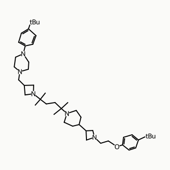 CC(C)(C)c1ccc(OCCN2CC(C3CCN(C(C)(C)CCC(C)(C)N4CC(CN5CCN(c6ccc(C(C)(C)C)cc6)CC5)C4)CC3)C2)cc1